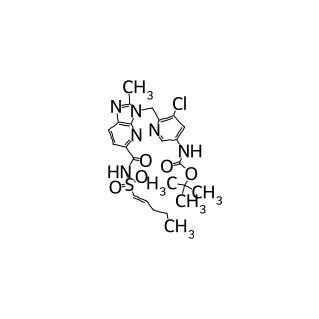 CCCC=CS(=O)(=O)NC(=O)c1ccc2nc(C)n(Cc3ncc(NC(=O)OC(C)(C)C)cc3Cl)c2n1